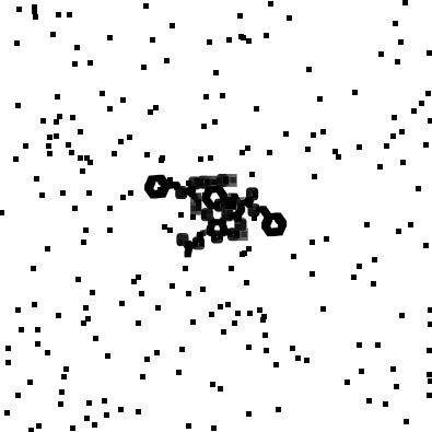 CC(=O)OC[C@H]1OC(O)[C@H](OC(C)=O)[C@@H]1O[C@H]1O[C@@H](CNC(=O)OCc2ccccc2)[C@H](O)[C@H](O)[C@H]1NC(=O)OCc1ccccc1